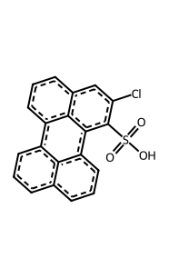 O=S(=O)(O)c1c(Cl)cc2cccc3c4cccc5cccc(c1c23)c54